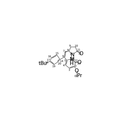 CC(C)Oc1ccc(/C(=C\[C@H]2CCC(=O)N2)c2ccc(C(C)(C)C)cc2)[nH]c1=O